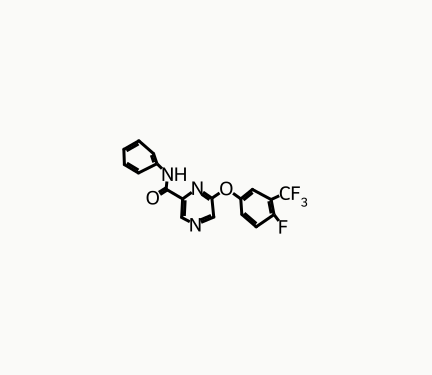 O=C(Nc1ccccc1)c1cncc(Oc2ccc(F)c(C(F)(F)F)c2)n1